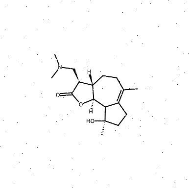 CC1=C2CC[C@@](C)(O)C2[C@H]2OC(=O)[C@@H](CN(C)C)[C@@H]2CC1